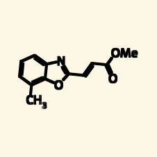 COC(=O)/C=C/c1nc2cccc(C)c2o1